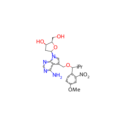 COc1ccc(C(OCc2cn([C@H]3C[C@@H](O)[C@@H](CO)O3)c3ncnc(N)c23)C(C)C)c([N+](=O)[O-])c1